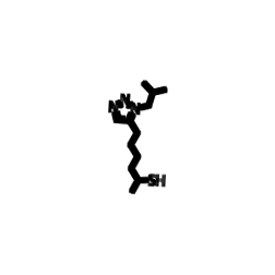 CC(C)Cn1nncc1CCCCC(C)S